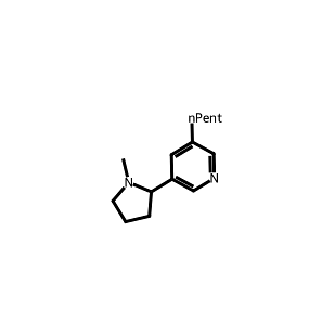 CCCCCc1cncc(C2CCCN2C)c1